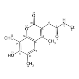 CCNC(=O)Cc1c(C)c2cc(C)c(O)c(C=O)c2oc1=O